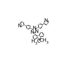 CC1(C)c2ccccc2-c2c(-c3nc(-c4ccc(-c5cccnc5)cc4)nc(-c4ccc(-c5cccnc5)cc4)n3)cccc21